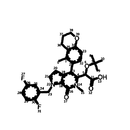 Cc1c(-c2c(C(OC(C)(C)C)C(=O)O)n(C)c(=O)c3c2ccn3Cc2cc(F)ccc2F)ccc2c1CCCO2